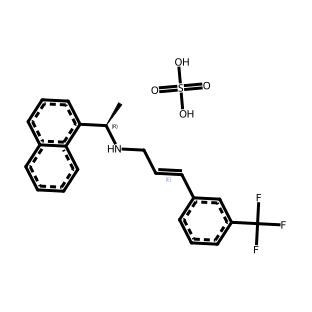 C[C@@H](NC/C=C/c1cccc(C(F)(F)F)c1)c1cccc2ccccc12.O=S(=O)(O)O